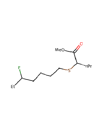 CCCC(SCCCCC(F)CC)C(=O)OC